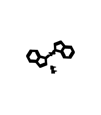 C1=C[CH]([Ti+2][CH]2C=Cc3ccccc32)c2ccccc21.[Br-].[Br-]